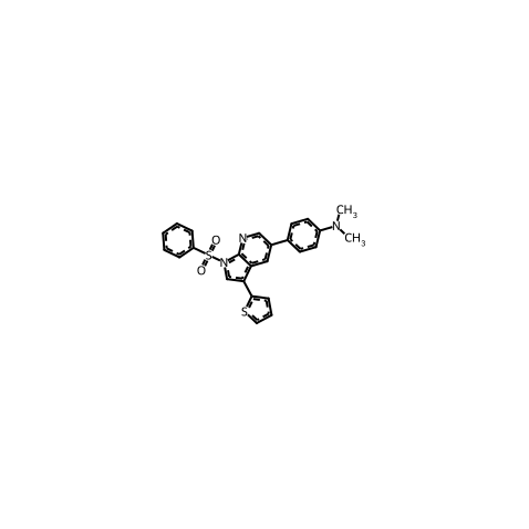 CN(C)c1ccc(-c2cnc3c(c2)c(-c2cccs2)cn3S(=O)(=O)c2ccccc2)cc1